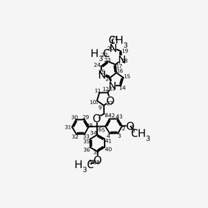 COc1ccc(C(OCC2[CH]CC(n3ccc4c(/N=C\N(C)C)ccnc43)O2)(c2ccccc2)c2ccc(OC)cc2)cc1